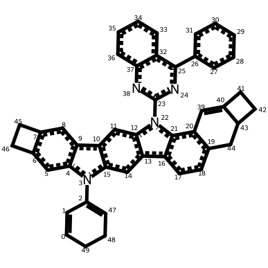 C1=CC(n2c3cc4c(cc3c3cc5c(cc32)c2ccc3c(c2n5-c2nc(-c5ccccc5)c5ccccc5n2)C=C2CCC2C3)CC4)=CCC1